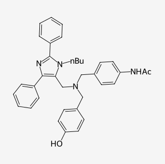 CCCCn1c(-c2ccccc2)nc(-c2ccccc2)c1CN(Cc1ccc(O)cc1)Cc1ccc(NC(C)=O)cc1